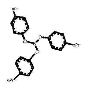 CCCc1ccc(OB(Oc2ccc(CCC)cc2)Oc2ccc(CCC)cc2)cc1